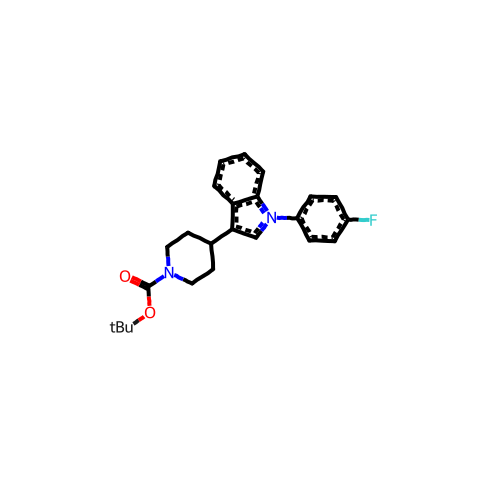 CC(C)(C)OC(=O)N1CCC(c2cn(-c3ccc(F)cc3)c3ccccc23)CC1